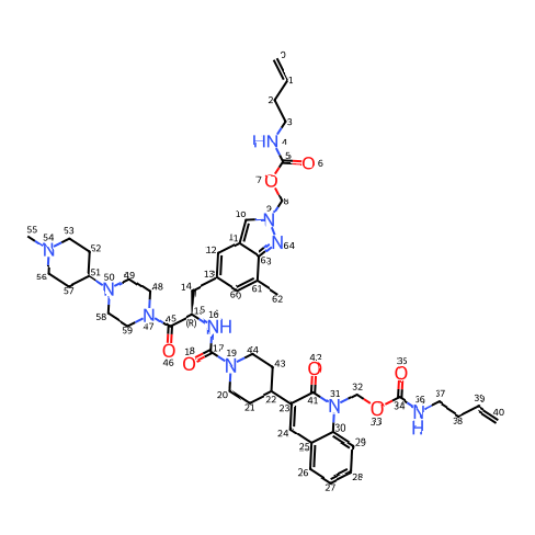 C=CCCNC(=O)OCn1cc2cc(C[C@@H](NC(=O)N3CCC(c4cc5ccccc5n(COC(=O)NCCC=C)c4=O)CC3)C(=O)N3CCN(C4CCN(C)CC4)CC3)cc(C)c2n1